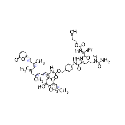 C#CCCOC(=O)N[C@H](C(=O)N[C@@H](CCCNC(N)=O)C(=O)Nc1ccc(COC(=O)N[C@H](/C=C/C=C(\C)C[C@@H](C)/C=C(C)\C=C\[C@H]2CC=CC(=O)O2)[C@@H]2C[C@@H](O)[C@H](C)[C@H](/C=C/C)O2)cc1)C(C)C